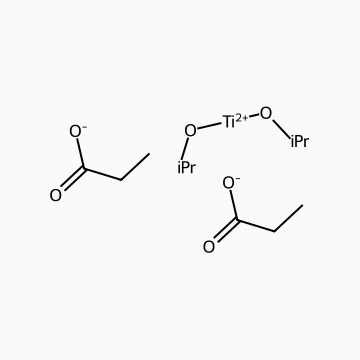 CC(C)[O][Ti+2][O]C(C)C.CCC(=O)[O-].CCC(=O)[O-]